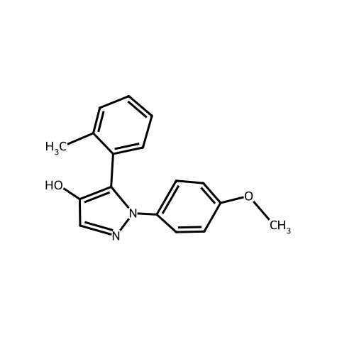 COc1ccc(-n2ncc(O)c2-c2ccccc2C)cc1